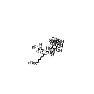 CCCCCCCCCCCCCCCC(=O)O[C@H](CCNC(=O)CCC)COP(=O)(O)OC1C(O)[C@@H](OP(=O)(O)O)C(OP(=O)(O)O)[C@@H](O)[C@H]1O